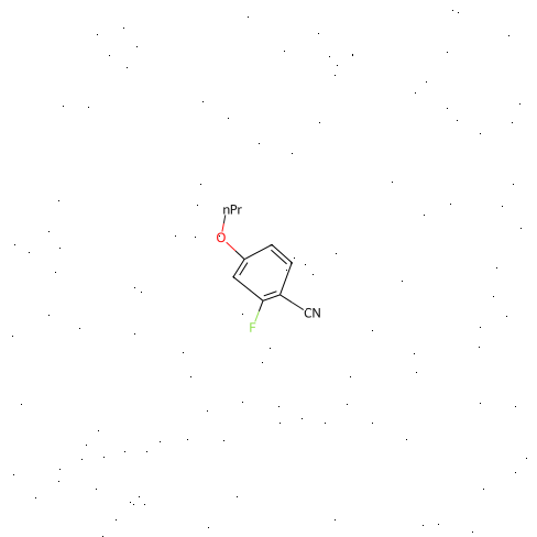 CCCOc1ccc(C#N)c(F)c1